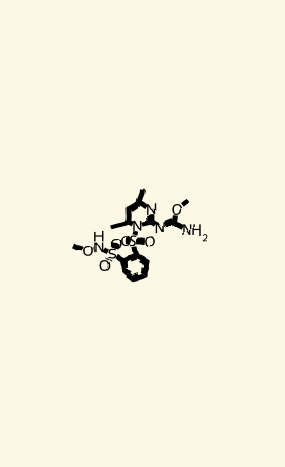 CONS(=O)(=O)c1ccccc1S(=O)(=O)N1C(N=C(N)OC)=NC(C)=CC1C